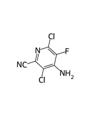 N#Cc1nc(Cl)c(F)c(N)c1Cl